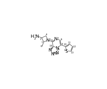 CC1C(N)CN1c1ncc(-c2cccs2)n2nnnc12